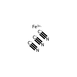 [C-]#N.[C-]#N.[C-]#N.[Fe+3]